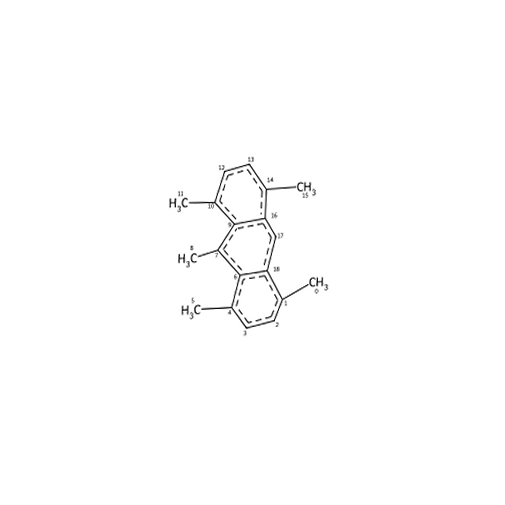 Cc1ccc(C)c2c(C)c3c(C)ccc(C)c3cc12